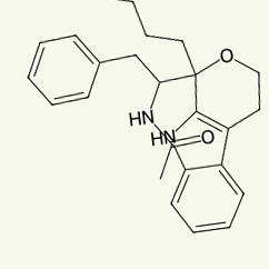 CCCCC1(C(Cc2ccccc2)NC(C)=O)OCCc2c1[nH]c1ccccc21